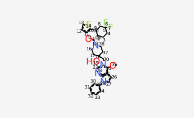 O=C([C@H]1CCC(F)(F)C[C@@H]1c1cccs1)N1CCC(O)(Cn2cnc3c(ccn3-c3ccccc3)c2=O)CC1